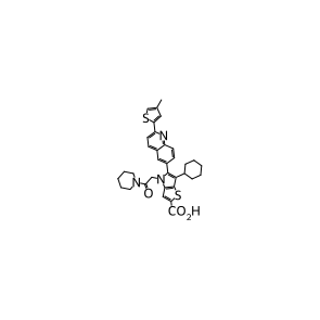 Cc1csc(-c2ccc3cc(-c4c(C5CCCCC5)c5sc(C(=O)O)cc5n4CC(=O)N4CCCCC4)ccc3n2)c1